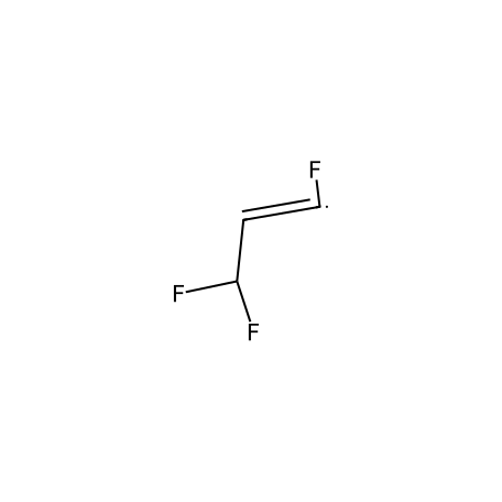 F/[C]=C/C(F)F